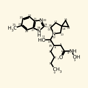 CCCC[C@H](CC(=O)NO)C(O)N1CC2(CC2)C[C@H]1c1nc2ccc(C)cc2[nH]1